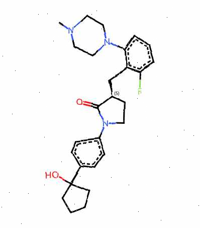 CN1CCN(c2cccc(F)c2C[C@H]2CCN(c3ccc(C4(O)CCCC4)cc3)C2=O)CC1